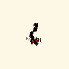 COc1cc(C(=O)N2CCO[C@H](C#Cc3ccc4c(c3)CN(C3CCC(=O)NC3=O)C4=O)CC2)ccc1NC(=O)[C@@H]1N[C@@H](CC(C)(C)C)[C@@]2(CNc3cc(C(F)(F)F)ncc32)[C@H]1c1cccc(Cl)c1F